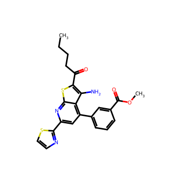 CCCCC(=O)c1sc2nc(-c3nccs3)cc(-c3cccc(C(=O)OC)c3)c2c1N